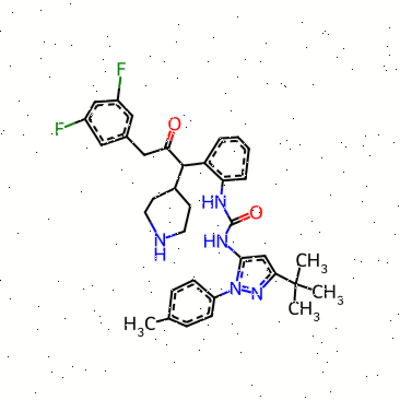 Cc1ccc(-n2nc(C(C)(C)C)cc2NC(=O)Nc2ccccc2C(C(=O)Cc2cc(F)cc(F)c2)C2CCNCC2)cc1